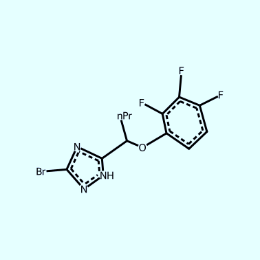 CCCC(Oc1ccc(F)c(F)c1F)c1nc(Br)n[nH]1